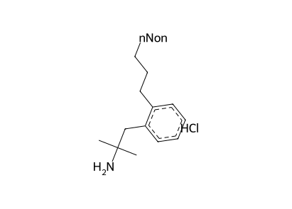 CCCCCCCCCCCCc1ccccc1CC(C)(C)N.Cl